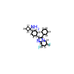 NC1(c2ccc(-c3nc4c(F)cc(F)cn4c3-c3ccccc3)cc2)CCC1